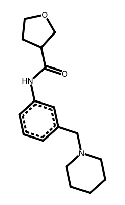 O=C(Nc1cccc(CN2CCCCC2)c1)C1CCOC1